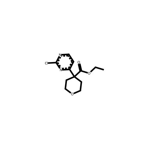 CCOC(=O)C1(c2ccnc(Cl)n2)CCOCC1